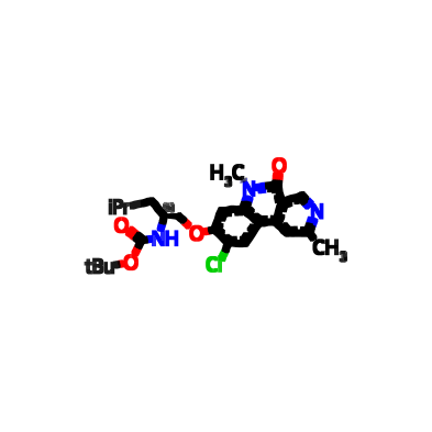 Cc1cc2c(cn1)c(=O)n(C)c1cc(OC[C@H](CC(C)C)NC(=O)OC(C)(C)C)c(Cl)cc21